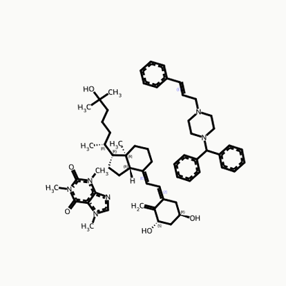 C(=C\c1ccccc1)/CN1CCN(C(c2ccccc2)c2ccccc2)CC1.C=C1/C(=C\C=C2/CCC[C@]3(C)[C@@H]([C@H](C)CCCC(C)(C)O)CC[C@@H]23)C[C@@H](O)C[C@@H]1O.Cn1c(=O)c2c(ncn2C)n(C)c1=O